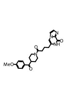 COc1ccc(C(=O)C2CCN(C(=O)CCCc3cn4ccnc4c(=O)[nH]3)CC2)cc1